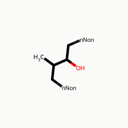 CCCCCCCCCC[C](C)C(O)CCCCCCCCCC